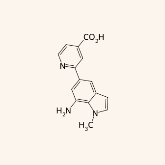 Cn1ccc2cc(-c3cc(C(=O)O)ccn3)cc(N)c21